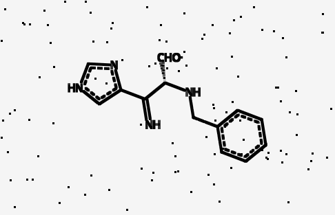 N=C(c1c[nH]cn1)[C@H]([C]=O)NCc1ccccc1